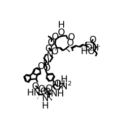 CC[C@H](O)[C@@H](C)[C@H]1O[C@@H]1C[C@@](C)(O)/C=C/C=C(\C)[C@H]1OC(=O)C[C@H](O)CC[C@@](C)(OC(C)=O)[C@@H](OC(=O)N2CCN(C(=O)OCc3ccc(NC(=O)[C@@H](CC(N)=O)NC(=O)[C@@H](C)NC(=O)[C@H](C)NC(=O)OCC4c5ccccc5-c5ccccc54)cc3)CC2)/C=C/[C@@H]1C